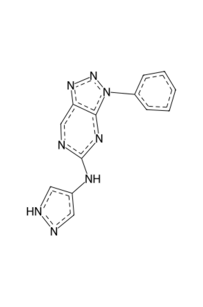 c1ccc(-n2nnc3cnc(Nc4cn[nH]c4)nc32)cc1